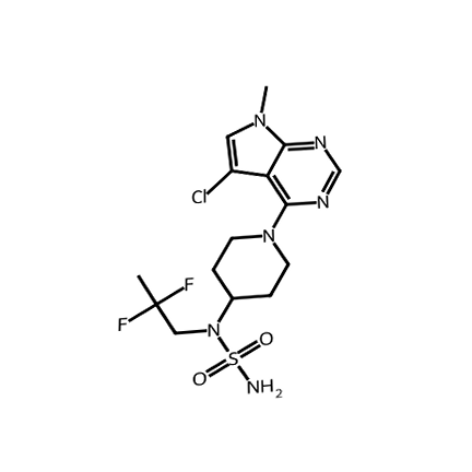 Cn1cc(Cl)c2c(N3CCC(N(CC(C)(F)F)S(N)(=O)=O)CC3)ncnc21